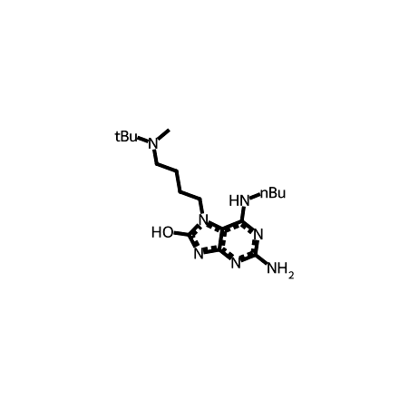 CCCCNc1nc(N)nc2nc(O)n(CCCCN(C)C(C)(C)C)c12